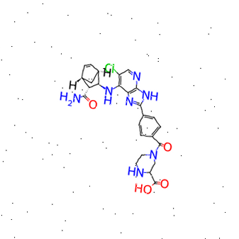 NC(=O)[C@H]1[C@H](Nc2c(Cl)cnc3[nH]c(-c4ccc(C(=O)N5CCNC(C(=O)O)C5)cc4)nc23)[C@@H]2C=C[C@@H]1C2